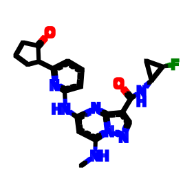 CNc1cc(Nc2cccc(C3CCCC3=O)n2)nc2c(C(=O)N[C@H]3C[C@H]3F)cnn12